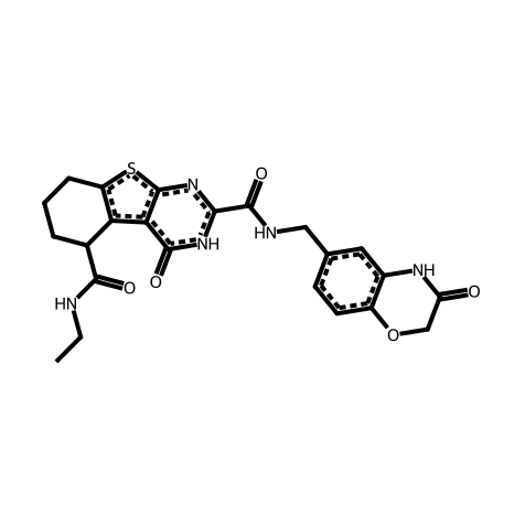 CCNC(=O)C1CCCc2sc3nc(C(=O)NCc4ccc5c(c4)NC(=O)CO5)[nH]c(=O)c3c21